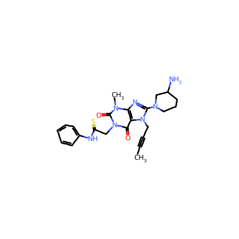 CC#CCn1c(N2CCCC(N)C2)nc2c1c(=O)n(CC(=S)Nc1ccccc1)c(=O)n2C